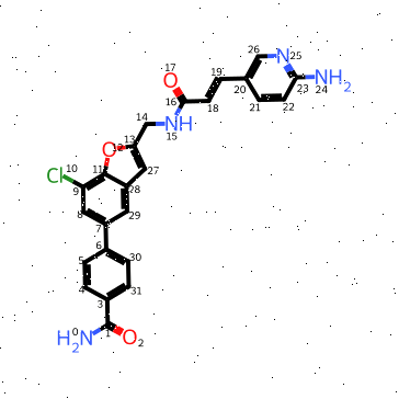 NC(=O)c1ccc(-c2cc(Cl)c3oc(CNC(=O)/C=C/c4ccc(N)nc4)cc3c2)cc1